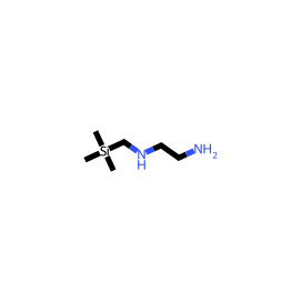 C[Si](C)(C)CNCCN